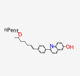 CCCCCOC(C)CCCC=Cc1ccc(-c2ccc3cc(O)ccc3n2)cc1